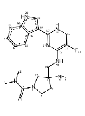 CN(C)C(=O)N1CCC(N)(CNC2=C(F)CNC(c3c[nH]c4ncccc34)=N2)C1